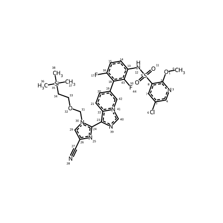 COc1ncc(Cl)cc1S(=O)(=O)Nc1ccc(F)c(-c2ccc3c(-c4nc(C#N)cn4COCC[Si](C)(C)C)ncn3c2)c1F